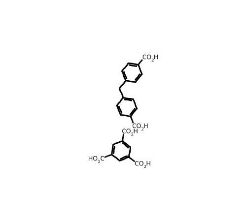 O=C(O)c1cc(C(=O)O)cc(C(=O)O)c1.O=C(O)c1ccc(Cc2ccc(C(=O)O)cc2)cc1